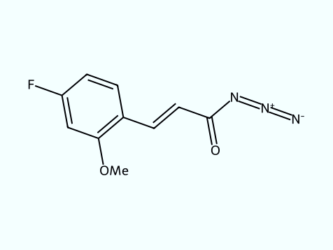 COc1cc(F)ccc1C=CC(=O)N=[N+]=[N-]